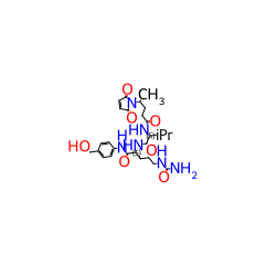 CC(C)[C@H](NC(=O)CCC(C)N1C(=O)C=CC1=O)C(=O)N[C@@H](CCCNC(N)=O)C(=O)Nc1ccc(CO)cc1